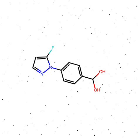 OC(O)c1ccc(-n2nccc2F)cc1